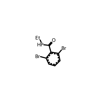 CCPC(=O)c1c(Br)cccc1Br